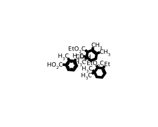 CCOC(=O)C1C(C)=C(C)CCC1(C)C.CCOC(=O)C1C(CC)=CCCC1(C)C.Cc1c(C(=O)O)cccc1C(=O)O